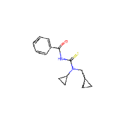 O=C(NC(=S)N(CC1CC1)C1CC1)c1ccccc1